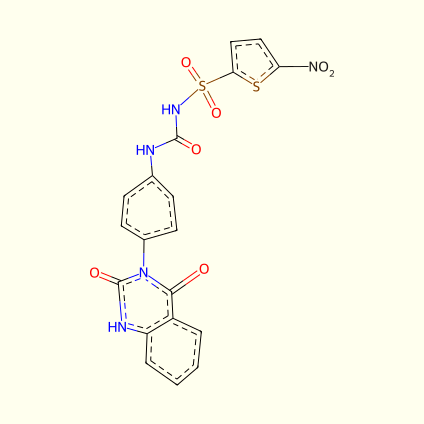 O=C(Nc1ccc(-n2c(=O)[nH]c3ccccc3c2=O)cc1)NS(=O)(=O)c1ccc([N+](=O)[O-])s1